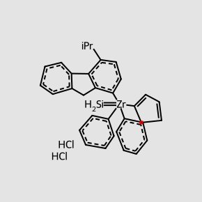 CC(C)c1cc[c]([Zr](=[SiH2])([C]2=CC=CC2)([c]2ccccc2)[c]2ccccc2)c2c1-c1ccccc1C2.Cl.Cl